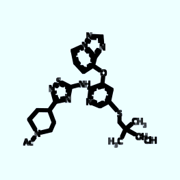 CC(=O)N1CCC(c2nsc(Nc3ncc(SCC(C)(C)O)cc3Oc3cccn4ncnc34)n2)CC1.Cl